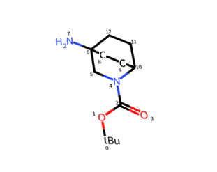 CC(C)(C)OC(=O)N1CC2(N)CCC1CC2